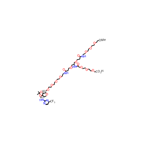 COCCOCCOCCOCCNC(=O)CCOCC(COCCC(=O)NCCOCCOCCOCCOC[C@H]1OC[C@H](Nc2nccc(C(F)(F)F)n2)[C@H]2OC(C)(C)O[C@H]21)NC(=O)COCCOCCOCC(=O)O